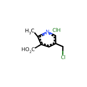 Cc1ncc(CCl)cc1C(=O)O.Cl